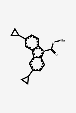 CC(C)(C)OC(=O)n1c2ccc(C3CC3)cc2c2cc(C3CC3)ccc21